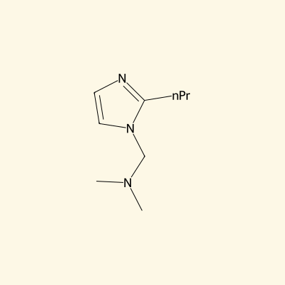 CCCc1nccn1CN(C)C